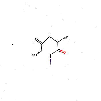 C=C(CC(CCC)C(=O)CI)CC(C)(C)C